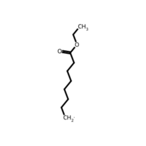 [CH2]CCCCCCC(=O)OCC